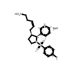 O=C(O)CC/C=C\C[C@@H]1CCN(S(=O)(=O)c2ccc(F)cc2)[C@@H]1c1cccnc1.[NaH]